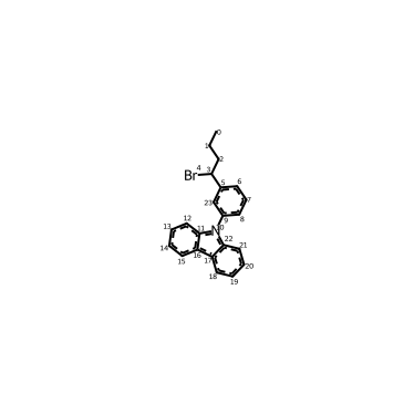 CCCC(Br)c1cccc(-n2c3ccccc3c3ccccc32)c1